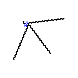 [CH2]Cc1nc(CCCCCCCCCCCCCCCCCCCCCCC)c(CCCCCCCCCCCCCCCCCCCCCCC)c(CCCCCCCCCCCCCCCCCCCCCCC)n1